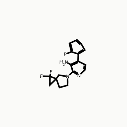 Nc1c(-c2ccccc2F)ccnc1N1CCC2(C1)CC2(F)F